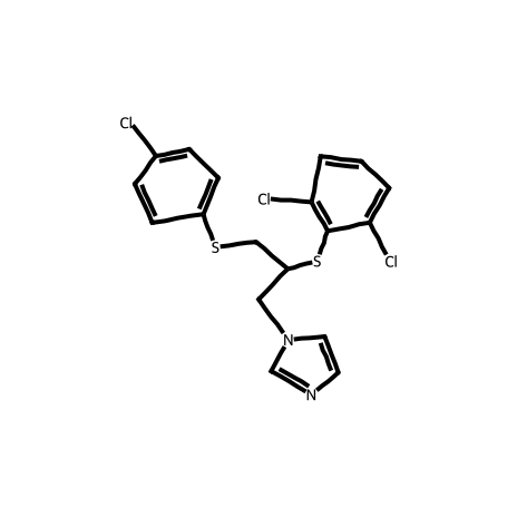 Clc1ccc(SCC(Cn2ccnc2)Sc2c(Cl)cccc2Cl)cc1